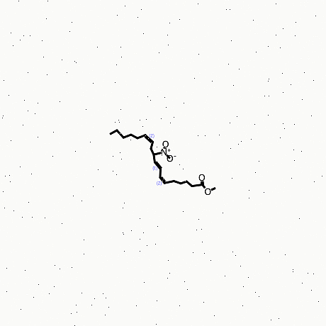 CCCCC/C=C\CC(/C=C/C=C\CCCCC(=O)OC)[N+](=O)[O-]